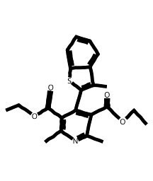 CCOC(=O)c1c(C)nc(C)c(C(=O)OCC)c1-c1sc2ccccc2c1C